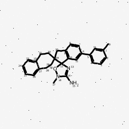 Cc1cccc(-c2ccc3c(c2)C2(N=C(N)N(C)O2)C2(CCc4ccccc4CC2)C3)c1